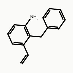 C=Cc1cccc(N)c1Cc1ccccc1